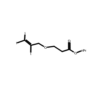 CCCOC(=O)CCOCC(I)=C(I)I